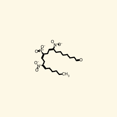 CCCCC/C=C(\C/C=C(\C/C=C(\CCCCCC[C]=O)[N+](=O)[O-])[N+](=O)[O-])[N+](=O)[O-]